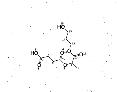 CC(OC(=O)CCC(=O)O)C(=O)OCCCO